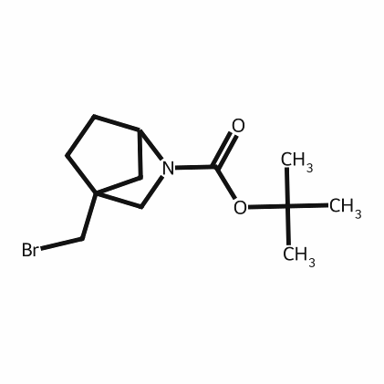 CC(C)(C)OC(=O)N1CC2(CBr)CCC1C2